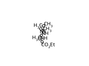 CCOC(=O)c1ccc(C(=O)Nc2cc(Nc3ncc4c(-c5c(C)cc(C)cc5C)cccc4n3)ccc2C)cc1